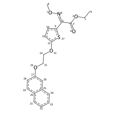 CCOC(=O)/C(=N/OC)c1ccc(OCCOc2ccc3ccccc3c2)s1